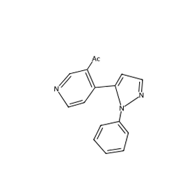 CC(=O)c1cnccc1-c1ccnn1-c1ccccc1